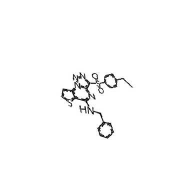 CCc1ccc(S(=O)(=O)c2nnn3c2nc(NCc2ccccc2)c2sccc23)cc1